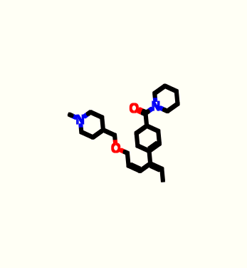 C/C=C(\C=C/COCC1CCN(C)CC1)C1=CCC(C(=O)N2CCCCC2)CC1